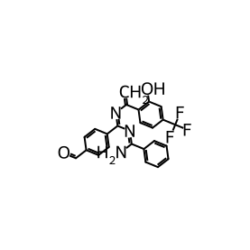 C=C(/N=C(\N=C(/N)c1ccccc1)c1ccc(C=O)cc1)c1ccc(C(F)(F)F)cc1O